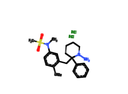 COc1ccc(N(C)S(=O)(=O)C(F)(F)F)cc1CC1(c2ccccc2)CCCCN1N.Cl.Cl